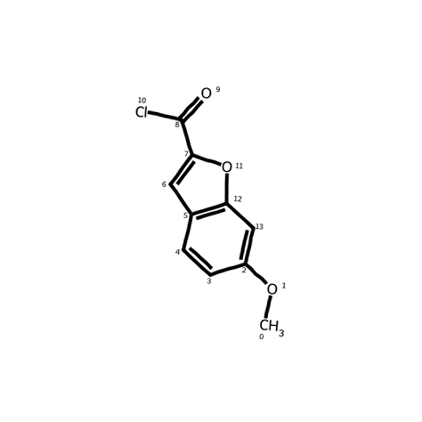 COc1ccc2cc(C(=O)Cl)oc2c1